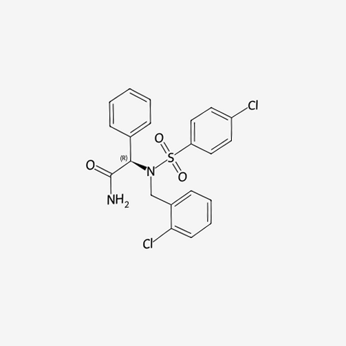 NC(=O)[C@@H](c1ccccc1)N(Cc1ccccc1Cl)S(=O)(=O)c1ccc(Cl)cc1